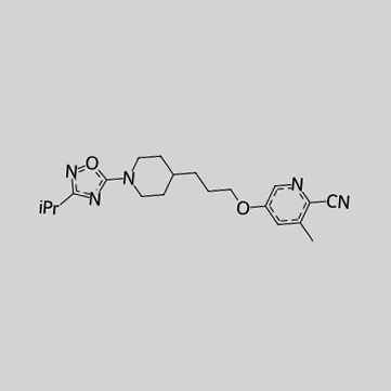 Cc1cc(OCCCC2CCN(c3nc(C(C)C)no3)CC2)cnc1C#N